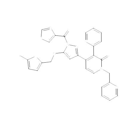 O=C(c1cscn1)n1nc(-c2ccn(Cc3ccccn3)c(=O)c2-c2ccccn2)cc1NCc1ccc(Cl)s1